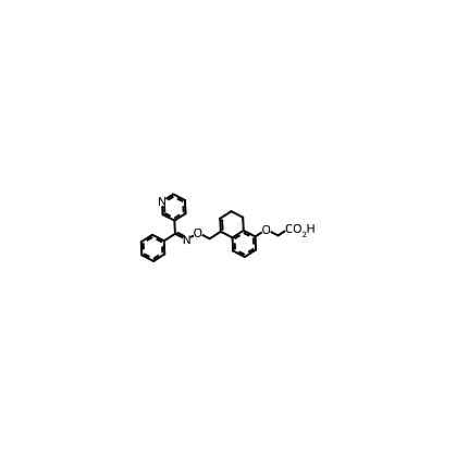 O=C(O)COc1cccc2c1CCC=C2CON=C(c1ccccc1)c1cccnc1